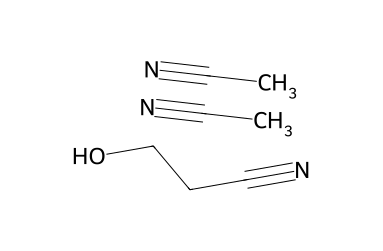 CC#N.CC#N.N#CCCO